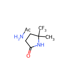 CC(N)=O.CC1(C(F)(F)F)CCC(=O)N1